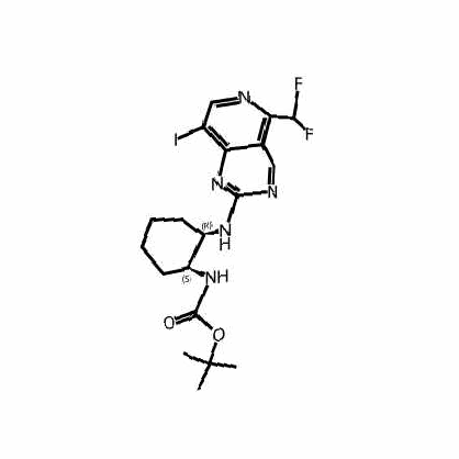 CC(C)(C)OC(=O)N[C@H]1CCCC[C@H]1Nc1ncc2c(C(F)F)ncc(I)c2n1